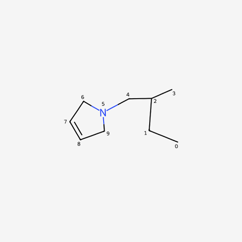 CCC(C)CN1CC=CC1